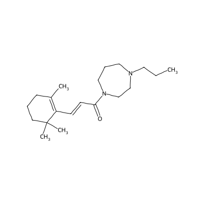 CCCN1CCCN(C(=O)C=CC2=C(C)CCCC2(C)C)CC1